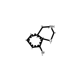 Brc1cccc2c1OCNC2